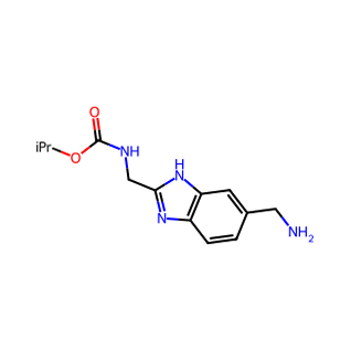 CC(C)OC(=O)NCc1nc2ccc(CN)cc2[nH]1